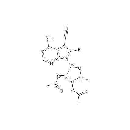 CC(=O)O[C@@H]1[C@H](OC(C)=O)[C@@H](C)O[C@H]1n1c(Br)c(C#N)c2c(N)ncnc21